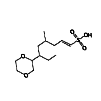 CCC(CC(C)CC=CS(=O)(=O)O)C1COCCO1